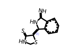 N=C1N/C(=C2/SCNC2=S)c2ccccc21